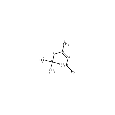 CC(=C[CH2][Nd])CC(C)(C)C